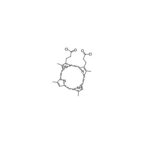 CC1=Cc2cc3[nH]c(cc4nc(cc5[nH]c(cc1n2)c(C)c5CCC(=O)Cl)C(CCC(=O)Cl)=C4C)cc3C